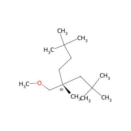 COC[C@](C)(CCC(C)(C)C)CC(C)(C)C